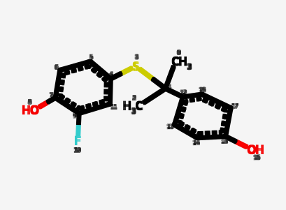 CC(C)(Sc1ccc(O)c(F)c1)c1ccc(O)cc1